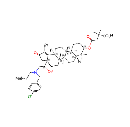 CNCCN(Cc1ccc(Cl)cc1)C[C@@H](O)[C@@]12CC[C@]3(C)[C@H](CC[C@@H]4[C@@]5(C)CC[C@H](OC(=O)CC(C)(C)C(=O)O)C(C)(C)[C@@H]5CC[C@]43C)C1=C(C(C)C)C(=O)C2